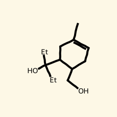 CCC(O)(CC)C1CC(C)=CCC1CO